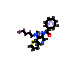 CN(CCCCI)c1c(NC(=O)C2=C/C=C\C=C/C=C\2)cnc2c1SC=CC2